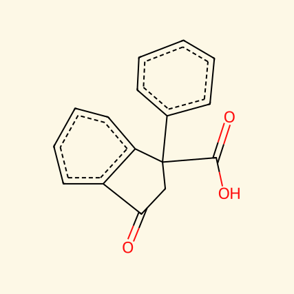 O=C1CC(C(=O)O)(c2ccccc2)c2ccccc21